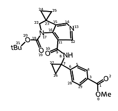 COC(=O)c1ccc(C2(NC(=O)c3cncc4c3N(C(=O)OC(C)(C)C)CC43CC3)CC2)cc1